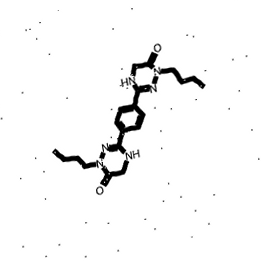 CCCCN1N=C(c2ccc(C3=NN(CCCC)C(=O)CN3)cc2)NCC1=O